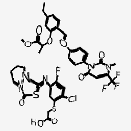 CCc1ccc(COc2ccc(-n3c(=O)cc(C(F)(F)F)n(C)c3=O)cc2)c(OC(C)C(=O)OC)c1.O=C(O)CSc1cc(N=c2sc(=O)n3n2CCCC3)c(F)cc1Cl